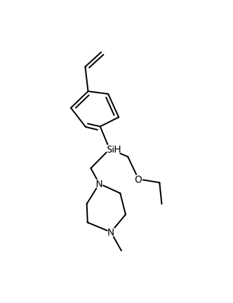 C=Cc1ccc([SiH](COCC)CN2CCN(C)CC2)cc1